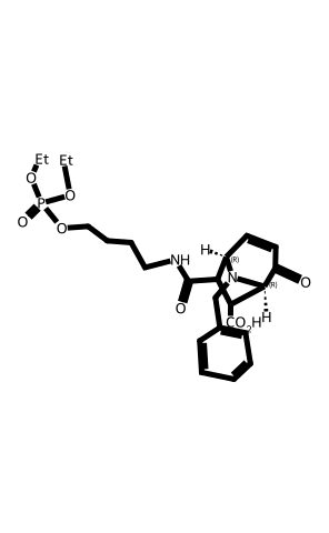 CCOP(=O)(OCC)OCCCCNC(=O)C1C(C(=O)O)[C@@H]2C(=O)C=C[C@H]1N2Cc1ccccc1